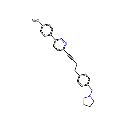 COc1ccc(-c2ccc(C#CCCc3ccc(CN4CCCC4)cc3)nc2)cc1